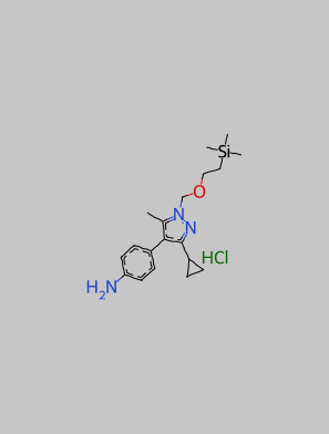 Cc1c(-c2ccc(N)cc2)c(C2CC2)nn1COCC[Si](C)(C)C.Cl